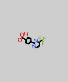 O=C(O)c1ccc(-c2nccc(C(F)(F)F)n2)cc1